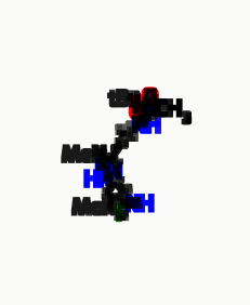 CNc1cc(Nc2ncc(C#CCCCNC(=O)CN(C)C(=O)OC(C)(C)C)c(NC)n2)ccc1C(=N)F